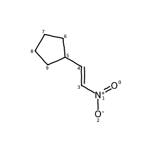 O=[N+]([O-])/C=C/C1CCCC1